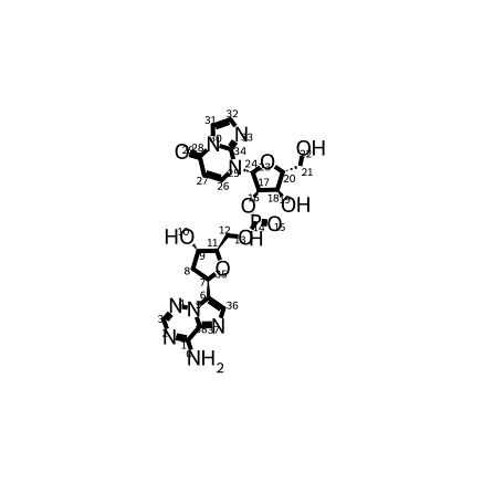 Nc1ncnn2c([C@H]3C[C@H](O)[C@@H](CO[PH](=O)O[C@@H]4[C@H](O)[C@@H](CO)O[C@H]4n4ccc(=O)n5ccnc45)O3)cnc12